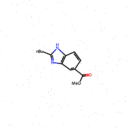 CCCCc1nc2cc(C(=O)OC)ccc2[nH]1